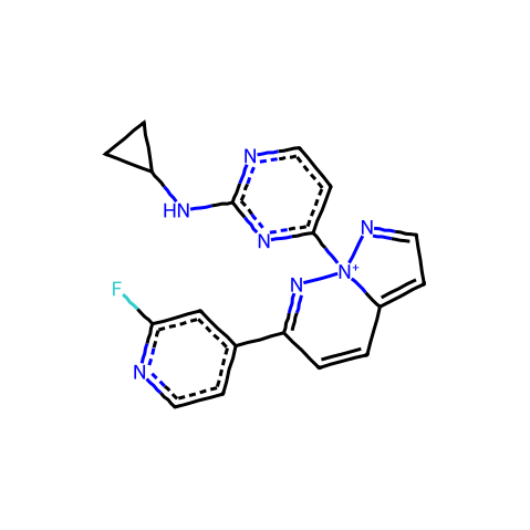 Fc1cc(C2=N[N+]3(c4ccnc(NC5CC5)n4)N=CC=C3C=C2)ccn1